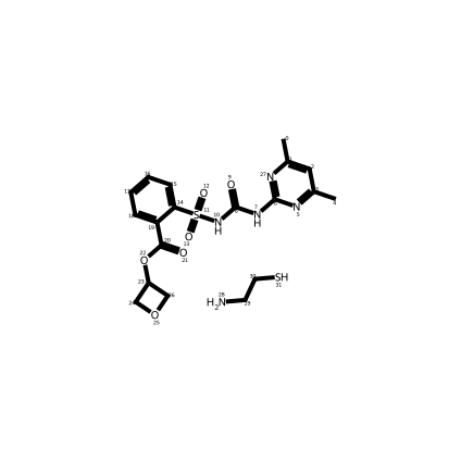 Cc1cc(C)nc(NC(=O)NS(=O)(=O)c2ccccc2C(=O)OC2COC2)n1.NCCS